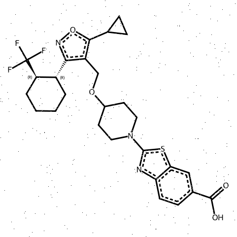 O=C(O)c1ccc2nc(N3CCC(OCc4c([C@@H]5CCCC[C@H]5C(F)(F)F)noc4C4CC4)CC3)sc2c1